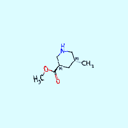 COC(=O)[C@H]1CNC[C@H](C)C1